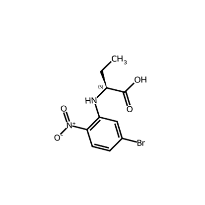 CC[C@H](Nc1cc(Br)ccc1[N+](=O)[O-])C(=O)O